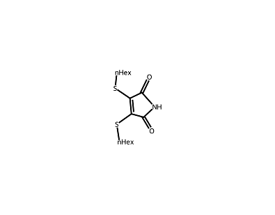 CCCCCCSC1=C(SCCCCCC)C(=O)NC1=O